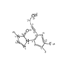 Cc1cc(-n2nnn(C)c2=O)c(C#CCO)cc1F